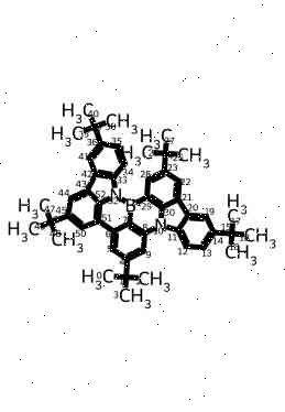 CC(C)(C)c1cc2c3c(c1)-n1c4ccc(C(C)(C)C)cc4c4cc(C(C)(C)C)cc(c41)B3n1c3ccc(C(C)(C)C)cc3c3cc(C(C)(C)C)cc-2c31